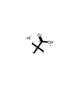 CC(C)(C)C(=O)O.I